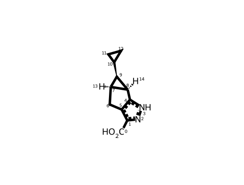 O=C(O)c1n[nH]c2c1C[C@@H]1[C@H]2[C@@H]1C1CC1